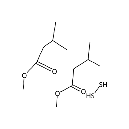 COC(=O)CC(C)C.COC(=O)CC(C)C.SS